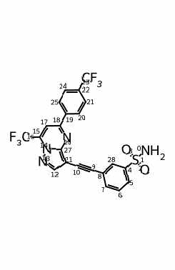 NS(=O)(=O)c1cccc(C#Cc2cnn3c(C(F)(F)F)cc(-c4ccc(C(F)(F)F)cc4)nc23)c1